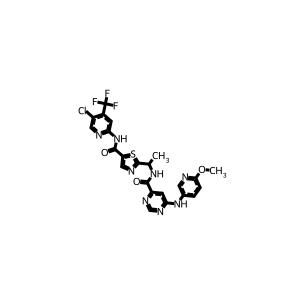 COc1ccc(Nc2cc(C(=O)NC(C)c3ncc(C(=O)Nc4cc(C(F)(F)F)c(Cl)cn4)s3)ncn2)cn1